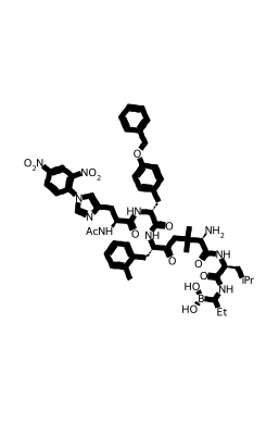 CCC(NC(=O)[C@H](CC(C)C)NC(=O)[C@@H](N)C(C)(C)CC(=O)[C@H](Cc1ccccc1C)NC(=O)[C@@H](Cc1ccc(OCc2ccccc2)cc1)NC(=O)[C@H](Cc1cn(-c2ccc([N+](=O)[O-])cc2[N+](=O)[O-])cn1)NC(C)=O)B(O)O